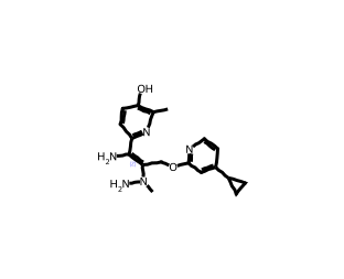 Cc1nc(/C(N)=C(\COc2cc(C3CC3)ccn2)N(C)N)ccc1O